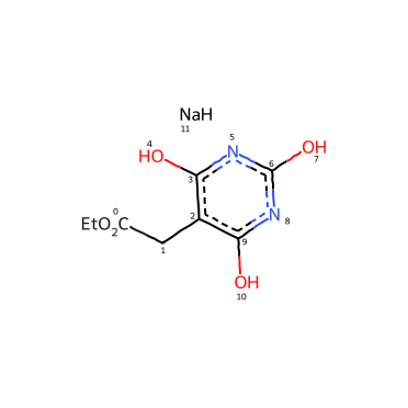 CCOC(=O)Cc1c(O)nc(O)nc1O.[NaH]